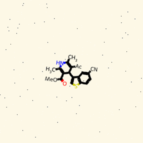 COC(=O)C1=C(C)NC(C)=C(C(C)=O)C1c1csc2ccc(C#N)cc12